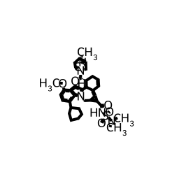 COc1ccc(C2CCCCC2)c2c1cc1n2CC2=C(C(=O)NS(=O)(=O)N(C)C)C2=C2C=CC[C@@H](C(=O)N3CC4CCC3CN4C)[C@@H]21